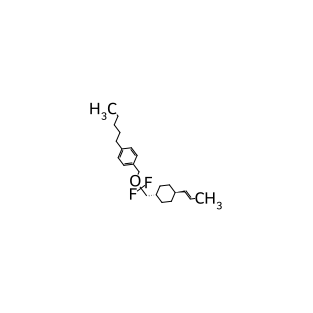 CC=C[C@H]1CC[C@H](CC(F)(F)OCc2ccc(CCCCC)cc2)CC1